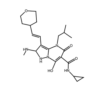 CNC1NN2C(O)=C(C(=O)NC3CC3)C(=O)N(CC(C)C)C2=C1/C=C/C1CCOCC1